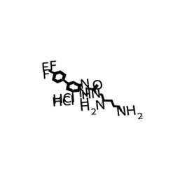 Cl.Cl.NCCC[C@H](N)CNC(=O)c1nc2cc(-c3ccc(C(F)(F)F)cc3)ccc2[nH]1